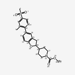 Cc1cc(S(C)(=O)=O)cnc1-c1ccc2c(c1)CC(C1CCN(C(=O)OC(C)C)CC1)O2